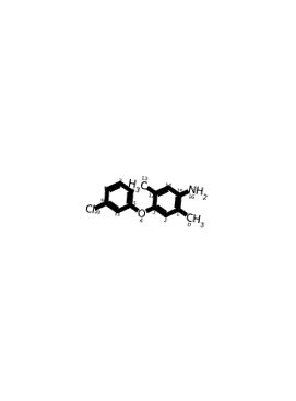 Cc1cc(Oc2cccc(Cl)c2)c(C)cc1N